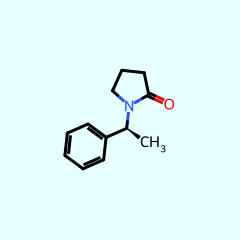 C[C@@H](c1ccccc1)N1CCCC1=O